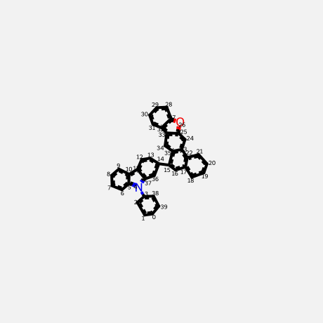 c1ccc(-n2c3ccccc3c3ccc(-c4cc5ccccc5c5cc6oc7ccccc7c6cc45)cc32)cc1